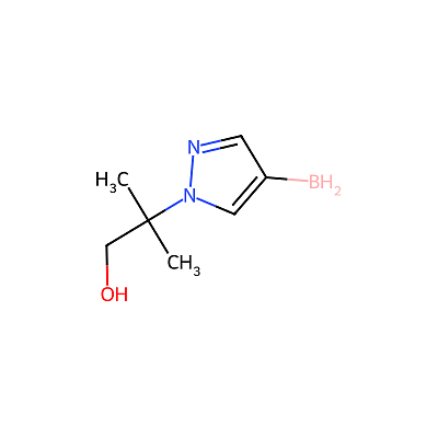 Bc1cnn(C(C)(C)CO)c1